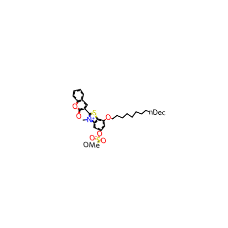 CCCCCCCCCCCCCCCCCCOc1cccc2c1sc(-c1cc3ccccc3oc1=O)[n+]2C.COS(=O)(=O)[O-]